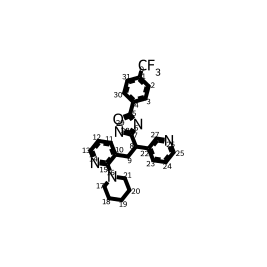 FC(F)(F)c1ccc(-c2nc(C(Cc3cccnc3N3CCCCC3)c3cccnc3)no2)cc1